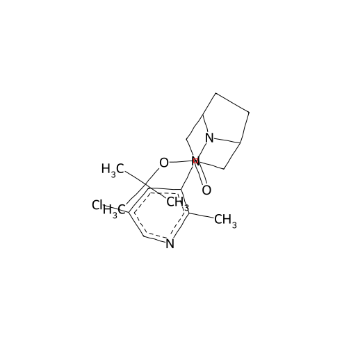 Cc1ncc(Cl)cc1N1CC2CCC(C1)N2C(=O)OC(C)(C)C